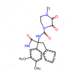 CCN1CCN(C(=O)NC(Cc2ccccc2)(C([NH])=O)c2ccc(OC(C)=O)c(OC(C)=O)c2)C(=O)C1=O